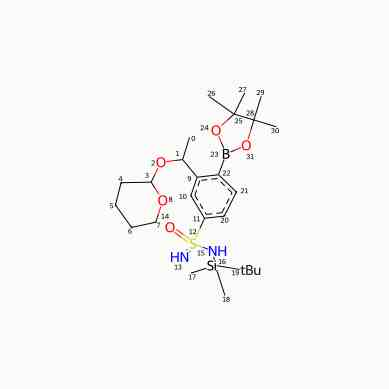 CC(OC1CCCCO1)c1cc(S(=N)(=O)N[Si](C)(C)C(C)(C)C)ccc1B1OC(C)(C)C(C)(C)O1